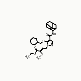 CCOC(=O)/C(=C/Cn1ncc(C(=O)NC2C3CC4CC(C3)CC2C4)c1OCC1CCCCC1)OC